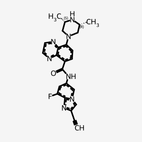 C#Cc1cn2cc(NC(=O)c3ccc(N4C[C@@H](C)N[C@@H](C)C4)c4nccnc34)cc(F)c2n1